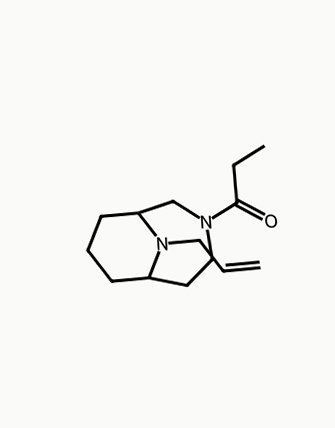 C=CCN1C2CCCC1CN(C(=O)CC)CC2